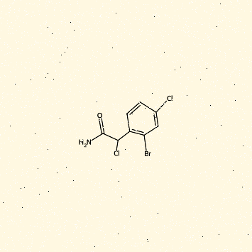 NC(=O)C(Cl)c1ccc(Cl)cc1Br